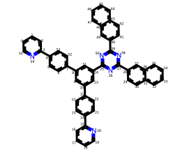 c1ccc(-c2ccc(-c3cc(-c4ccc(-c5ccccn5)cc4)cc(-c4nc(-c5ccc6ccccc6c5)nc(-c5ccc6ccccc6c5)n4)c3)cc2)nc1